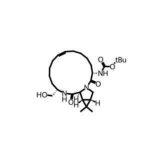 CC(C)(C)OC(=O)N[C@H]1CCCCC=CCCCC[C@@H](CO)NC(=O)[C@@H]2[C@@H]3[C@H](CN2C1=O)C3(C)C